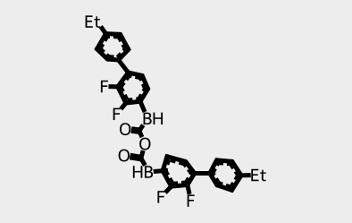 CCc1ccc(-c2ccc(BC(=O)OC(=O)Bc3ccc(-c4ccc(CC)cc4)c(F)c3F)c(F)c2F)cc1